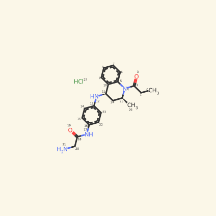 CCC(=O)N1c2ccccc2[C@H](Nc2ccc(NC(=O)CN)cc2)C[C@@H]1C.Cl